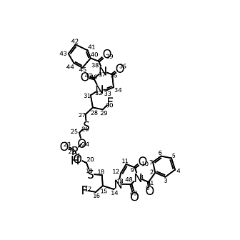 O=C(c1ccccc1)n1c(=O)ccn(CC(CF)CSCO[PH](=O)OCSCC(CF)Cn2ccc(=O)n(C(=O)c3ccccc3)c2=O)c1=O